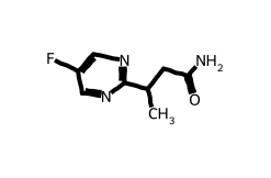 CC(CC(N)=O)c1ncc(F)cn1